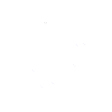 COc1ccc(-n2nc(S(C)(=O)=O)c3c2C(=O)N(c2ccc(-n4ccnc4CN(C)C(=O)OC(=O)C(F)(F)F)cc2)CC3)cc1